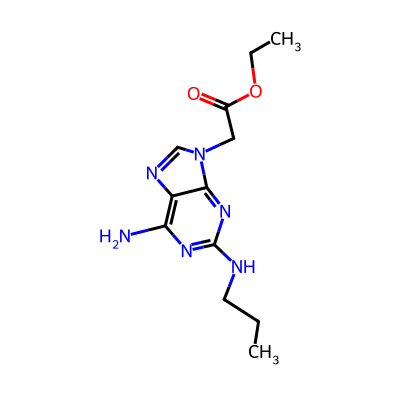 CCCNc1nc(N)c2ncn(CC(=O)OCC)c2n1